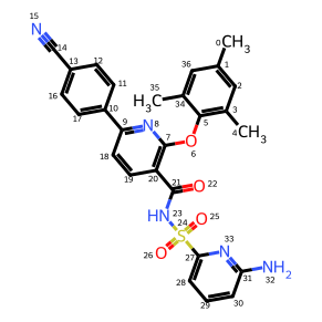 Cc1cc(C)c(Oc2nc(-c3ccc(C#N)cc3)ccc2C(=O)NS(=O)(=O)c2cccc(N)n2)c(C)c1